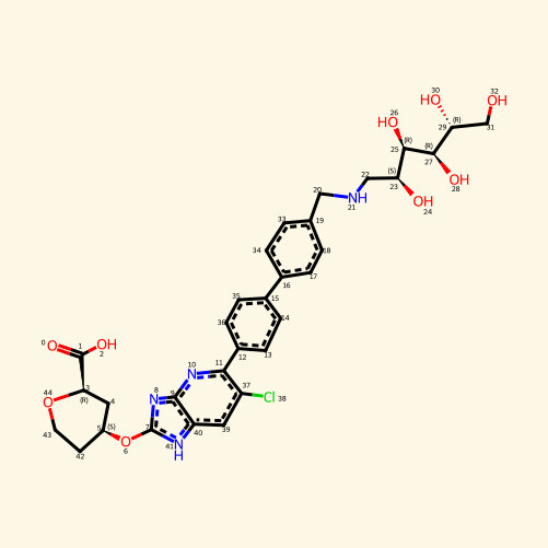 O=C(O)[C@H]1C[C@@H](Oc2nc3nc(-c4ccc(-c5ccc(CNC[C@H](O)[C@@H](O)[C@H](O)[C@H](O)CO)cc5)cc4)c(Cl)cc3[nH]2)CCO1